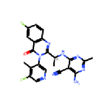 Cc1nc(N)c(C#N)c(N[C@@H](C)c2nc3ccc(F)cc3c(=O)n2-c2cncc(F)c2C)n1